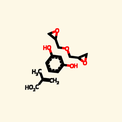 C(OCC1CO1)C1CO1.C=C(C)C(=O)O.Oc1cccc(O)c1